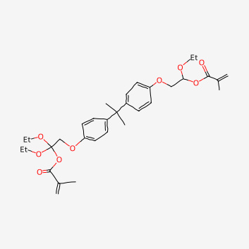 C=C(C)C(=O)OC(COc1ccc(C(C)(C)c2ccc(OCC(OCC)(OCC)OC(=O)C(=C)C)cc2)cc1)OCC